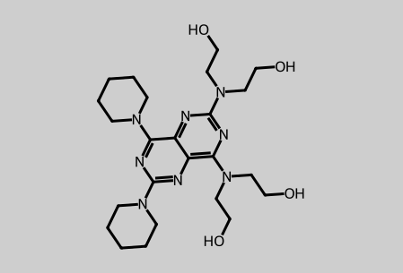 OCCN(CCO)c1nc(N(CCO)CCO)c2nc(N3CCCCC3)nc(N3CCCCC3)c2n1